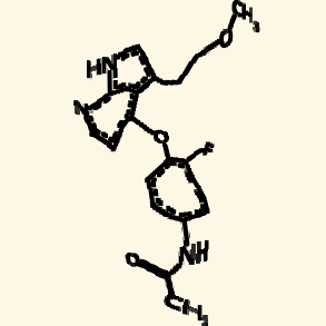 COCCc1c[nH]c2nccc(Oc3ccc(NC(C)=O)cc3F)c12